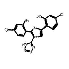 CC(C)c1cc(Cl)ccc1-c1cc(-c2nnn[nH]2)c(-c2ccc(Cl)cc2C(C)C)s1